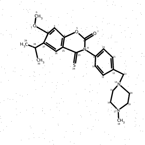 COc1cc2oc(=O)n(-c3ccc(CN4CCN(C)CC4)cc3)c(=S)c2cc1C(C)C